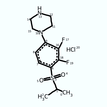 CC(C)S(=O)(=O)c1ccc(N2CCNCC2)c(F)c1F.Cl